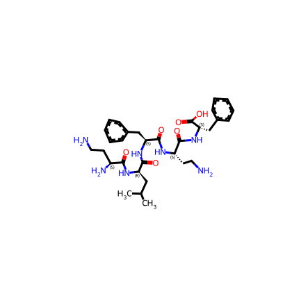 CC(C)C[C@@H](NC(=O)[C@@H](N)CCN)C(=O)N[C@@H](Cc1ccccc1)C(=O)N[C@@H](CCN)C(=O)N[C@@H](Cc1ccccc1)C(=O)O